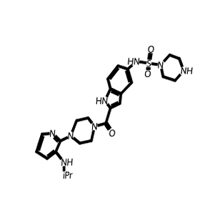 CC(C)Nc1cccnc1N1CCN(C(=O)c2cc3cc(NS(=O)(=O)N4CCNCC4)ccc3[nH]2)CC1